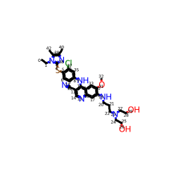 CCn1c(Sc2ccc(Nc3c(C#N)cnc4cc(NCCCN(CCO)CCO)c(OC)cc34)cc2Cl)nc(C)c1C